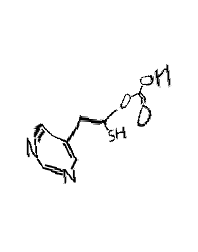 O=C(O)OC(S)Cc1cncnc1